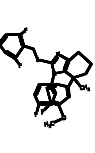 COc1cc(C2(C)CCCc3nc(SCc4c(F)c[c]cc4F)n(-c4ccc(F)cc4)c32)ccc1F